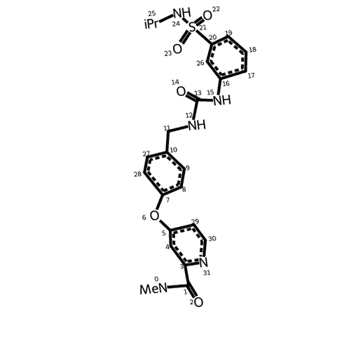 CNC(=O)c1cc(Oc2ccc(CNC(=O)Nc3cccc(S(=O)(=O)NC(C)C)c3)cc2)ccn1